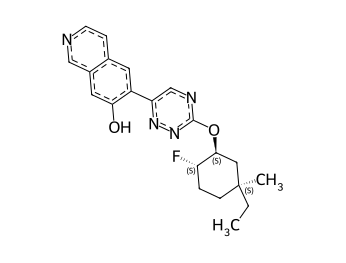 CC[C@@]1(C)CC[C@H](F)[C@@H](Oc2ncc(-c3cc4ccncc4cc3O)nn2)C1